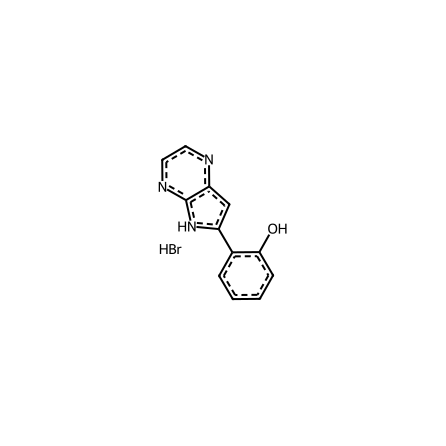 Br.Oc1ccccc1-c1cc2nccnc2[nH]1